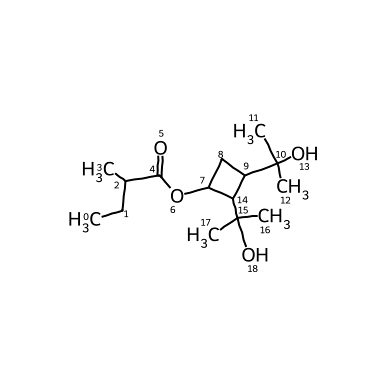 CCC(C)C(=O)OC1CC(C(C)(C)O)C1C(C)(C)O